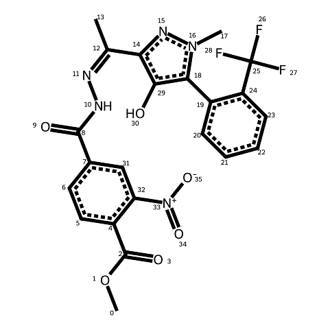 COC(=O)c1ccc(C(=O)NN=C(C)c2nn(C)c(-c3ccccc3C(F)(F)F)c2O)cc1[N+](=O)[O-]